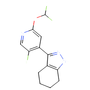 Fc1cnc(OC(F)F)cc1-c1n[nH]c2c1CCCC2